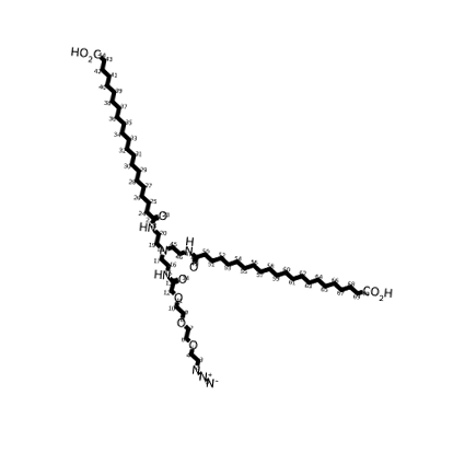 [N-]=[N+]=NCCOCCOCCOCC(=O)NCCN(CCNC(=O)CCCCCCCCCCCCCCCCCCCCC(=O)O)CCNC(=O)CCCCCCCCCCCCCCCCCCCCC(=O)O